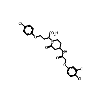 O=C(COc1ccc(Cl)c(Cl)c1)NC1CCN(C(CCOc2ccc(Cl)cc2)C(=O)O)C(=O)C1